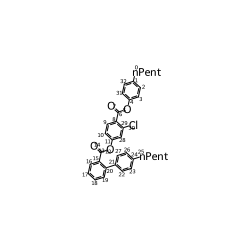 CCCCCc1ccc(OC(=O)c2ccc(OC(=O)c3ccccc3-c3ccc(CCCCC)cc3)cc2Cl)cc1